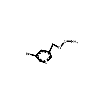 NOOCc1cncc(Br)c1